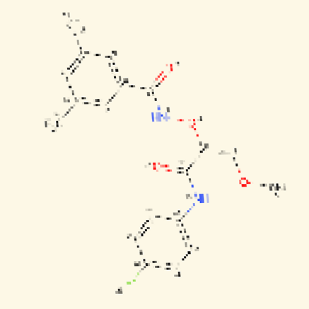 CCCCOC[C@@H](ONC(=O)c1cc(C(F)(F)F)cc(C(F)(F)F)c1)C(=O)Nc1ccc(F)cc1